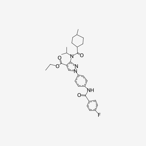 CCOC(=O)c1cn(-c2ccc(NC(=O)c3ccc(F)cc3)cc2)nc1N(C(=O)C1CCC(C)CC1)C(C)C